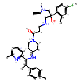 C=CN(C)CC(O)(CNCCC(=O)N1CCC(NC(=C(C)c2ccc(C)cc2)C(/C=C\C)=N/C(=C)C)CC1)c1ccc(F)cc1C